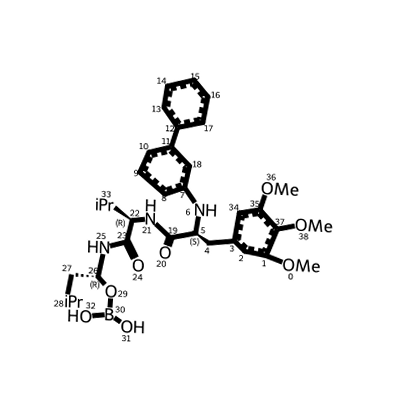 COc1cc(C[C@H](Nc2cccc(-c3ccccc3)c2)C(=O)N[C@@H](C(=O)N[C@@H](CC(C)C)OB(O)O)C(C)C)cc(OC)c1OC